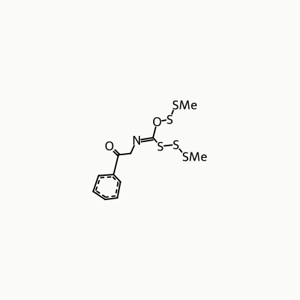 CSSOC(=NCC(=O)c1ccccc1)SSSC